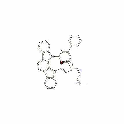 C/C=C\C=C/Cc1cc(-c2ccccc2)nc(-n2c3ccccc3c3ccc4c5ccccc5n(C5=CCCC=C5)c4c32)n1